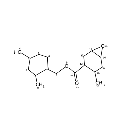 CC1CC(O)CCC1COC(=O)C1CC2OC2CC1C